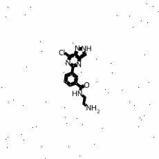 NCCNC(=O)c1cccc(-c2nc(Cl)c3n[nH]cc3n2)c1